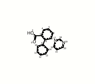 O=C(O)c1ccccc1-c1ccccc1.c1cncnc1